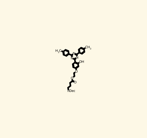 CCCCCCCCCCCCCC(=O)OCCOc1ccc(-c2nc(-c3ccc(C)cc3)nc(-c3ccc(C)cc3)n2)c(O)c1